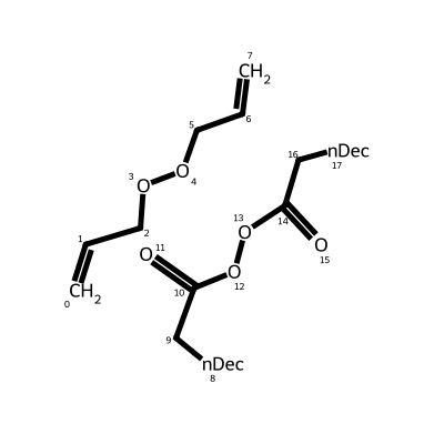 C=CCOOCC=C.CCCCCCCCCCCC(=O)OOC(=O)CCCCCCCCCCC